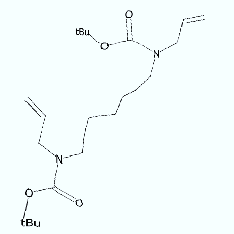 C=CCN(CCCCCN(CC=C)C(=O)OC(C)(C)C)C(=O)OC(C)(C)C